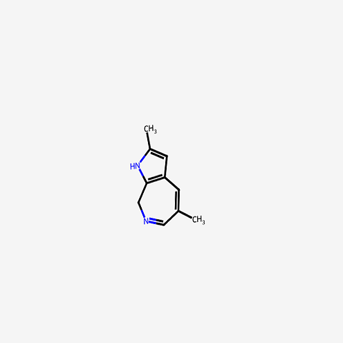 CC1=Cc2cc(C)[nH]c2CN=C1